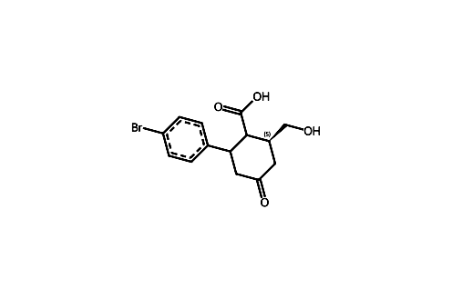 O=C1CC(c2ccc(Br)cc2)C(C(=O)O)[C@@H](CO)C1